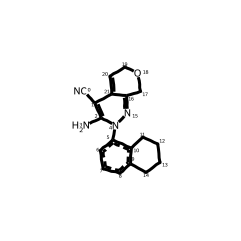 N#CC1=C(N)N(c2cccc3c2CCCC3)N=C2COCC=C21